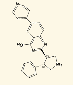 Oc1nc([C@H]2CNC[C@@H]2c2ccccc2)nc2ccc(-c3ccncc3)cc12